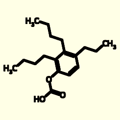 CCCCc1c(CCC)ccc(OC(=O)O)c1CCCC